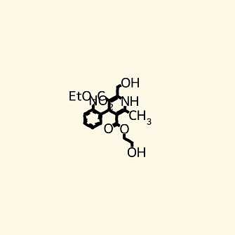 CCOC(=O)C1=C(CO)NC(C)=C(C(=O)OCCO)C1c1ccccc1[N+](=O)[O-]